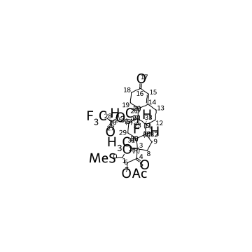 CSCO[C@]1(C(=O)COC(C)=O)CC[C@H]2[C@@H]3CCC4=CC(=O)CC[C@]4(C)[C@@]3(F)[C@@H](OC(=O)C(F)(F)F)C[C@@]21C